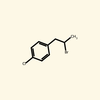 CC(Br)Cc1ccc(Cl)cc1